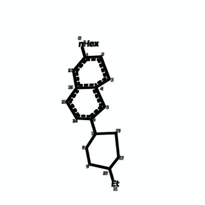 CCCCCCc1ccc2cc(C3CCC(CC)CC3)ccc2c1